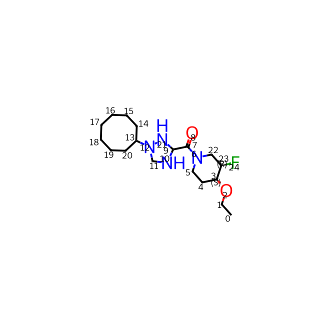 CCO[C@H]1CCN(C(=O)C2NCN(C3CCCCCCC3)N2)C[C@H]1F